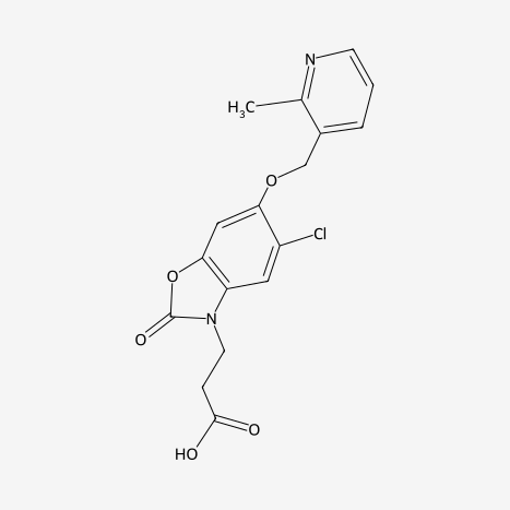 Cc1ncccc1COc1cc2oc(=O)n(CCC(=O)O)c2cc1Cl